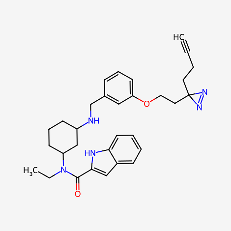 C#CCCC1(CCOc2cccc(CNC3CCCC(N(CC)C(=O)c4cc5ccccc5[nH]4)C3)c2)N=N1